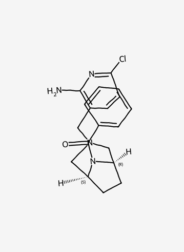 Nc1nc(Cl)ccc1CN1C[C@H]2CC[C@@H](C1)N2C(=O)c1ccccc1